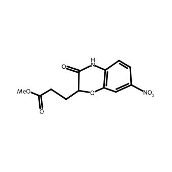 COC(=O)CCC1Oc2cc([N+](=O)[O-])ccc2NC1=O